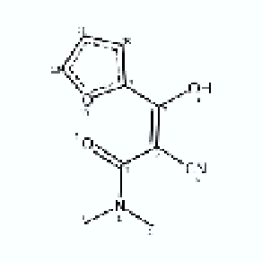 CN(C)C(=O)C(C#N)=C(O)c1ccco1